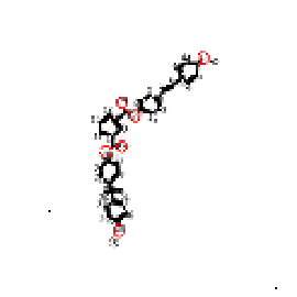 COc1ccc(C#Cc2ccc(OC(=O)c3cccc(C(=O)Oc4ccc(C(C)(C)c5ccc(OC)cc5)cc4)c3)cc2)cc1